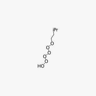 CC(C)CCOOOOOO